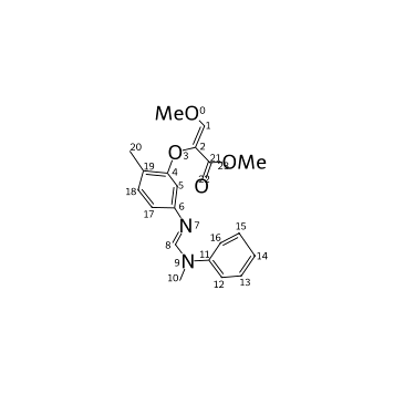 CO/C=C(\Oc1cc(/N=C/N(C)c2ccccc2)ccc1C)C(=O)OC